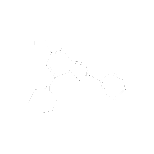 CC1=NC2=CN(c3ccccc3)NN2C(N2CCCCC2)=C1